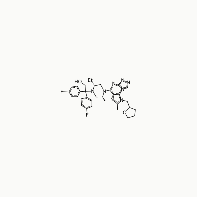 CC[C@@H]1CN(c2nc3nncn3c3c2nc(C)n3CC2CCCO2)[C@@H](C)CN1C(CO)(c1ccc(F)cc1)c1ccc(F)cc1